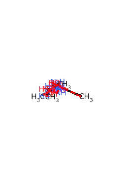 CCCCCCCCCCCCCCCC(=O)NCC(=O)N[C@H](C(=O)N[C@@H](CCC(N)=O)C(O)NC(Cc1c[nH]cn1)C(=O)N[C@@H](CO)C(=O)N[C@@H](CCCC)C(O)NC)[C@H](C)O